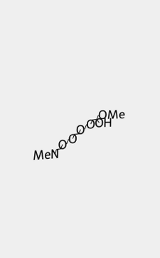 CNCCOCCOCCOCCOCC(O)COC